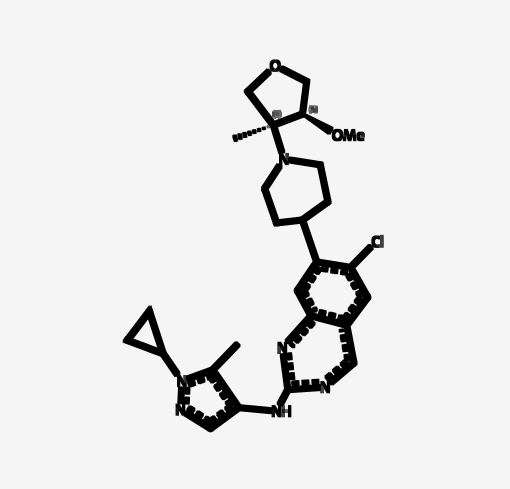 CO[C@@H]1COC[C@]1(C)N1CCC(c2cc3nc(Nc4cnn(C5CC5)c4C)ncc3cc2Cl)CC1